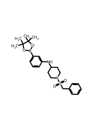 CC1(C)OB(c2cccc(NC3CCN(S(=O)(=O)Cc4ccccc4)CC3)c2)OC1(C)C